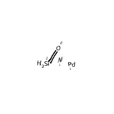 O=[SiH2].[Ni].[Pd]